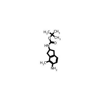 Cc1c(N)ccc2c1CC(NC(=O)OC(C)(C)C)C2